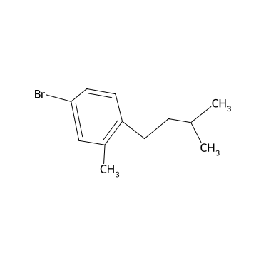 Cc1cc(Br)ccc1CCC(C)C